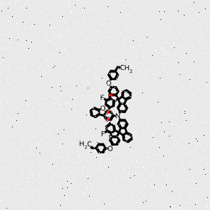 C=Cc1ccc(Oc2ccc(C3(c4cc(F)cc(F)c4F)c4ccccc4-c4ccc(N(c5ccc6c(c5)C(c5ccc(Oc7ccc(C=C)cc7)cc5)(c5cc(F)cc(F)c5F)c5ccccc5-6)c5ccc6c(c5)oc5ccccc56)cc43)cc2)cc1